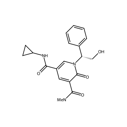 CNC(=O)c1cc(C(=O)NC2CC2)cn([C@@H](CO)c2ccccc2)c1=O